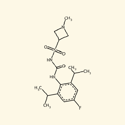 CC(C)c1cc(F)cc(C(C)C)c1NC(=O)NS(=O)(=O)C1CN(C)C1